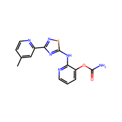 Cc1ccnc(-c2nsc(Nc3ncccc3OC(N)=O)n2)c1